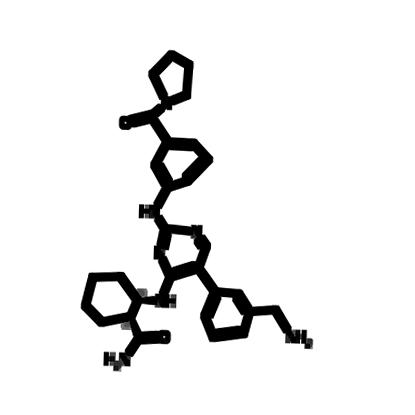 NCc1cccc(-c2cnc(Nc3cccc(C(=O)N4CCCC4)c3)nc2N[C@@H]2CCCC[C@@H]2C(N)=O)c1